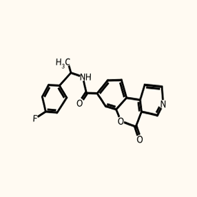 CC(NC(=O)c1ccc2c(c1)oc(=O)c1cnccc12)c1ccc(F)cc1